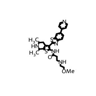 COCCNCCC(=O)Nc1sc2c(c1-c1nc3ccc(-c4ccncc4)cc3s1)CC(C)NC2C